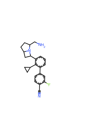 N#Cc1ccc(-c2cccc(C3CC4CCC(CN)N43)c2C2CC2)cc1F